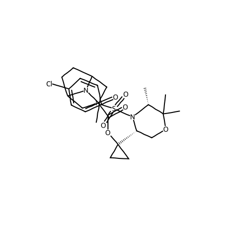 CC(=O)N1C2CCC1CN(C(=O)OC1([C@H]3COC(C)(C)[C@@H](C)N3S(=O)(=O)c3ccc(Cl)cc3)CC1)C2